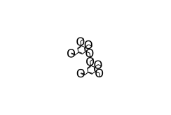 COc1cc(C=O)cc(OC)c1OC.COc1cc(C=O)cc(OC)c1OC